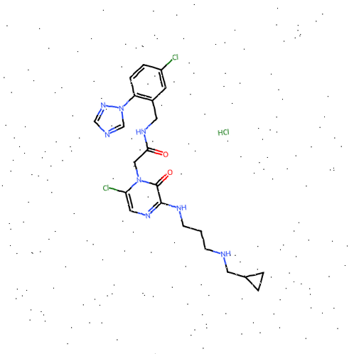 Cl.O=C(Cn1c(Cl)cnc(NCCCNCC2CC2)c1=O)NCc1cc(Cl)ccc1-n1cncn1